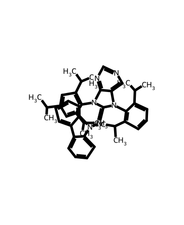 CC(C)c1cc(C(C)C)c(-n2/c(=N\n3c4ccccc4c4ccccc43)n(-c3c(C(C)C)cccc3C(C)C)c3cncnc32)c(C(C)C)c1